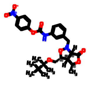 C[C@@H]1OC(=O)[C@@H]2[C@H]1[C@H](CO[Si](C)(C)C(C)(C)C)ON2Cc1cccc(NC(=O)Oc2ccc([N+](=O)[O-])cc2)c1